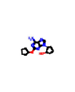 Nc1nc(OC2CCCC2)nc2c1ncn2[C@@H]1CCC[C@H]1O